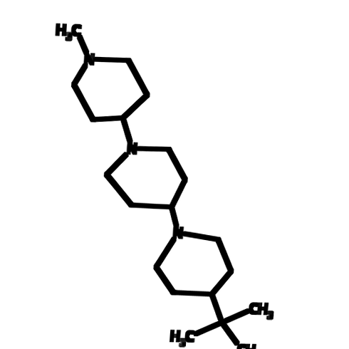 CN1CCC(N2CCC(N3CCC(C(C)(C)C)CC3)CC2)CC1